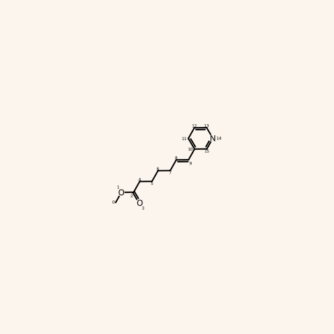 COC(=O)CCCCC=Cc1cccnc1